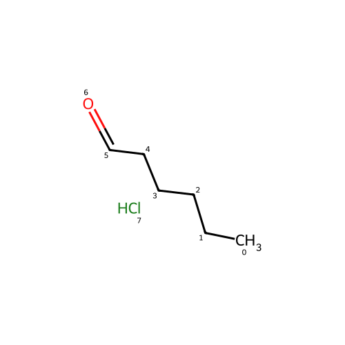 CCCCCC=O.Cl